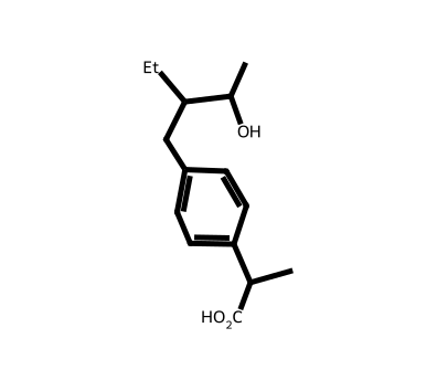 CCC(Cc1ccc(C(C)C(=O)O)cc1)C(C)O